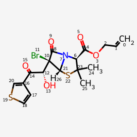 C=CCOC(=O)[C@@H]1N2C(=O)[C@@](Br)([C@H](O)C(=O)c3ccsc3)[C@H]2SC1(C)C